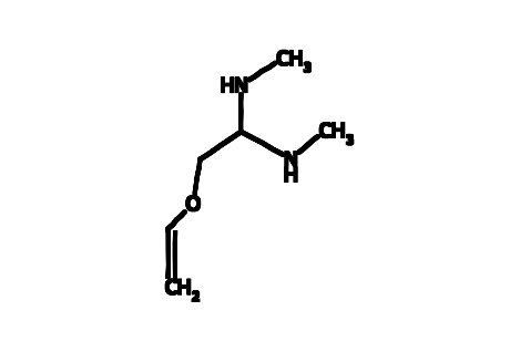 C=COCC(NC)NC